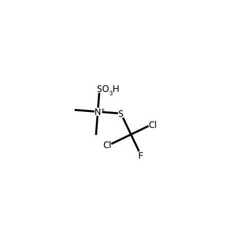 C[N+](C)(SC(F)(Cl)Cl)S(=O)(=O)O